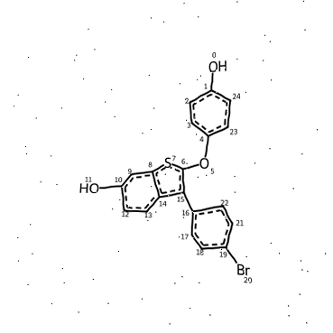 Oc1ccc(Oc2sc3cc(O)ccc3c2-c2ccc(Br)cc2)cc1